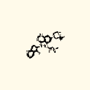 C[C@H](CN(C)C)Oc1cc(N2CCOC3(CC3)C2)cc2ncnc(Nc3ccc4ncccc4c3F)c12